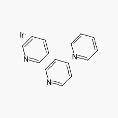 [Ir].c1ccncc1.c1ccncc1.c1ccncc1